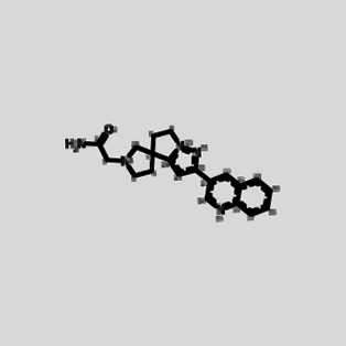 NC(=O)CN1CCC2(CCn3nc(-c4cnc5ccccc5c4)cc32)C1